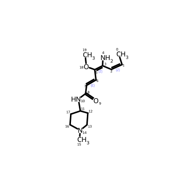 C\C=C/C(N)=C(\C=C\C(=O)NC1CCN(C)CC1)OC